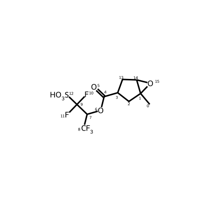 CC12CC(C(=O)OC(C(F)(F)F)C(F)(F)S(=O)(=O)O)CC1O2